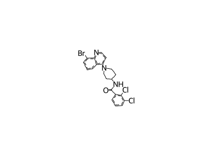 O=C(NC1CCN(c2ccnc3c(Br)cccc23)CC1)c1cccc(Cl)c1Cl